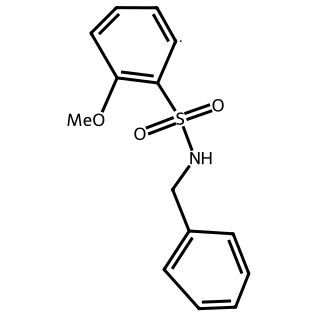 COc1ccc[c]c1S(=O)(=O)NCc1ccccc1